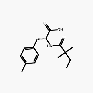 CCC(C)(C)C(=O)N[C@H](Cc1ccc(C)cc1)C(=O)O